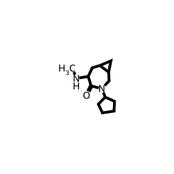 CNC1CC2CC2CN(C2CCCC2)C1=O